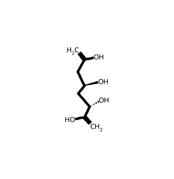 C=C(O)C[C@@H](O)C[C@H](O)C(=C)O